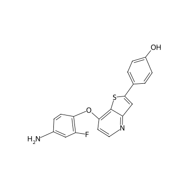 Nc1ccc(Oc2ccnc3cc(-c4ccc(O)cc4)sc23)c(F)c1